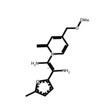 C=C1C=C(COOC)C=CN1/C(N)=C(\N)c1ccc(C)o1